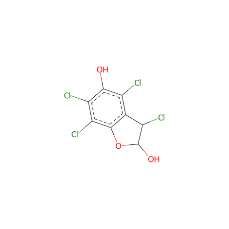 Oc1c(Cl)c(Cl)c2c(c1Cl)C(Cl)C(O)O2